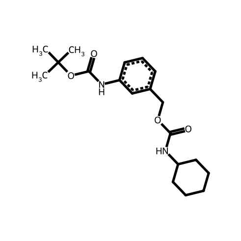 CC(C)(C)OC(=O)Nc1cccc(COC(=O)NC2CCCCC2)c1